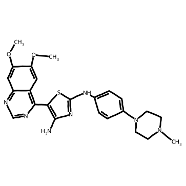 COc1cc2ncnc(-c3sc(Nc4ccc(N5CCN(C)CC5)cc4)nc3N)c2cc1OC